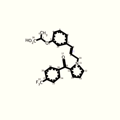 CC(Oc1cccc(/C=C/Cn2cccc2C(=O)c2ccc(C(F)(F)F)cc2)c1)C(=O)O